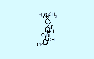 CN(C)C1CCN(c2ccc(NC(=O)c3cc(Cl)ccc3O)cc2F)CC1.Cl